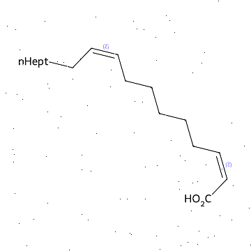 CCCCCCCC/C=C\CCCCC/C=C\C(=O)O